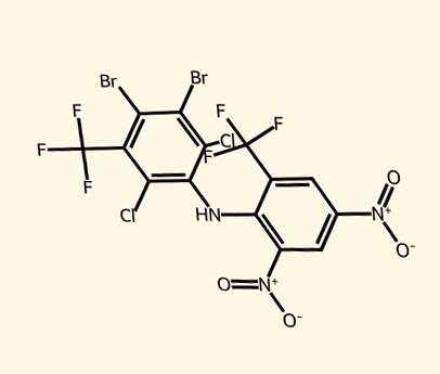 O=[N+]([O-])c1cc([N+](=O)[O-])c(Nc2c(Cl)c(Br)c(Br)c(C(F)(F)F)c2Cl)c(C(F)(F)F)c1